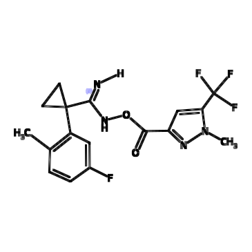 [H]/N=C(\NOC(=O)c1cc(C(F)(F)F)n(C)n1)C1(c2cc(F)ccc2C)CC1